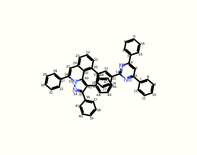 c1ccc(-c2cc(-c3ccccc3)nc(-c3cccc(-c4cccc5cc(-c6ccccc6)n6nc(-c7ccccc7)c(-c7ccccc7)c6c45)c3)n2)cc1